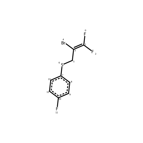 FC(F)=C(Br)CSc1ccc(F)cc1